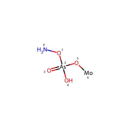 NO[As](=O)(O)[O][Mo]